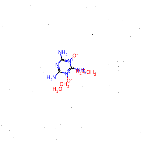 Nc1nc(N)[n+]([O-])c(N)[n+]1[O-].O.O.O.O